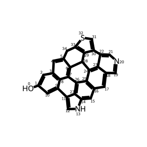 Oc1cc2cc3c4c5c2c(c1)c1c[nH]c2cc6cc7cncc8c7c(c6c5c21)C4c1c-8csc1C3